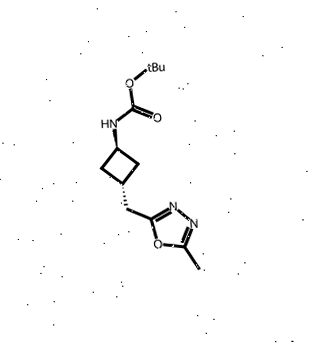 Cc1nnc(C[C@H]2C[C@H](NC(=O)OC(C)(C)C)C2)o1